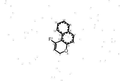 FC1=CCOc2ccc3ccccc3c21